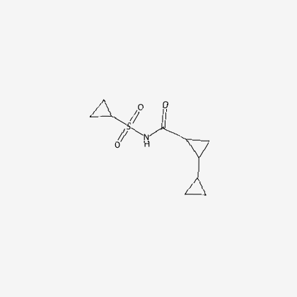 O=C(NS(=O)(=O)C1CC1)C1CC1C1CC1